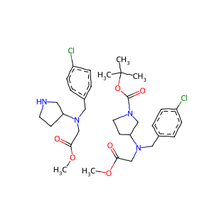 COC(=O)CN(Cc1ccc(Cl)cc1)C1CCN(C(=O)OC(C)(C)C)C1.COC(=O)CN(Cc1ccc(Cl)cc1)C1CCNC1